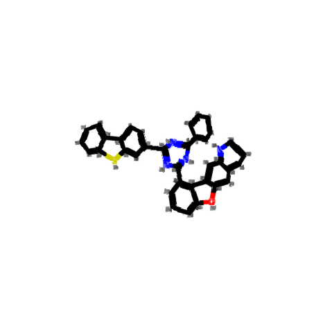 c1ccc(-c2nc(-c3ccc4c(c3)sc3ccccc34)nc(-c3cccc4oc5cc6cccnc6cc5c34)n2)cc1